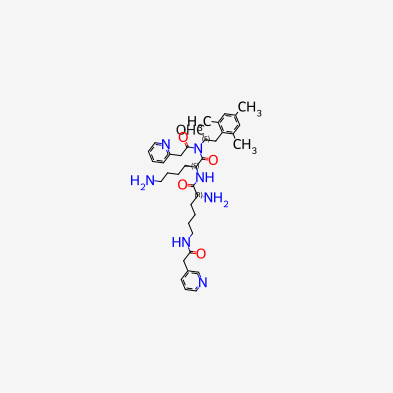 Cc1cc(C)c(C[C@@H]([C]=O)N(C(=O)Cc2ccccn2)C(=O)[C@H](CCCCN)NC(=O)[C@H](N)CCCCNC(=O)Cc2cccnc2)c(C)c1